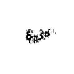 Cc1ccc2nc(CN3CCN(c4cc(CC(C)C)ccc4C#N)CC3)cc(=O)n2c1